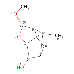 CO[C@H]1OC2C(O)C3CC2C1C3C